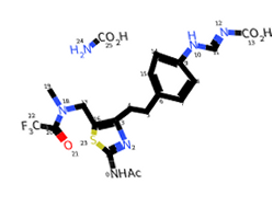 CC(=O)Nc1nc(CCc2ccc(NC=NC(=O)O)cc2)c(CN(C)C(=O)C(F)(F)F)s1.NC(=O)O